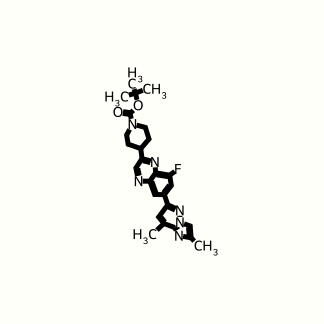 Cc1cn2nc(-c3cc(F)c4nc(C5CCN(C(=O)OC(C)(C)C)CC5)cnc4c3)cc(C)c2n1